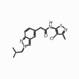 Cc1nsc(NC(=O)Cc2ccc3nn(CC(C)C)cc3c2)c1Cl